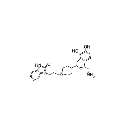 NCC1OC(C2CCN(CCCn3c(=O)[nH]c4ccccc43)CC2)Cc2c1ccc(O)c2O